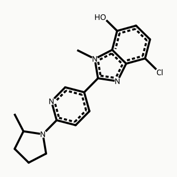 CC1CCCN1c1ccc(-c2nc3c(Cl)ccc(O)c3n2C)cn1